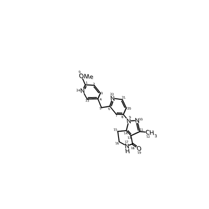 COc1ccc(Cc2cc(-n3nc(C)c4c3CCNC4=O)ccn2)cn1